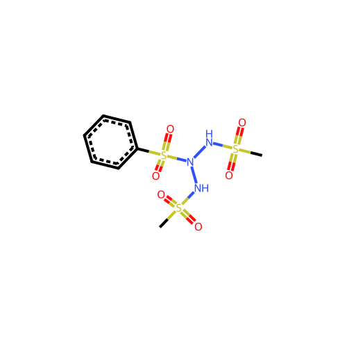 CS(=O)(=O)NN(NS(C)(=O)=O)S(=O)(=O)c1ccccc1